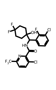 O=C(NC(c1cccc(Cl)c1F)C1(O)CCC(F)(F)CC1)c1nc(C(F)(F)F)ccc1Cl